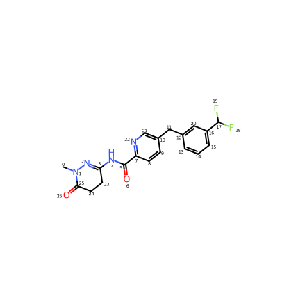 CN1N=C(NC(=O)c2ccc(Cc3cccc(C(F)F)c3)cn2)CCC1=O